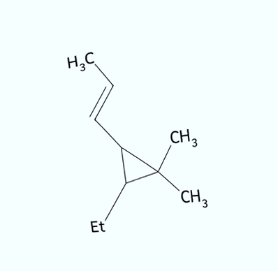 C/C=C/C1C(CC)C1(C)C